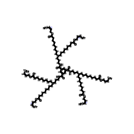 CCC/C=C\COC(=O)CCCCCCCCN(CCCCCCCCC(=O)OC/C=C\CCC)CCCNC(=O)c1cc(C(=O)NCCCN(CCCCCCCCC(=O)OC/C=C\CCC)CCCCCCCCC(=O)OC/C=C\CCC)cc(C(=O)NCCCN(CCCCCCCCC(=O)OC/C=C\CCC)CCCCCCCCC(=O)OC/C=C\CCCC)c1